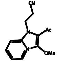 COc1c(C(C)=O)n(CCC#N)c2cccc[n+]12